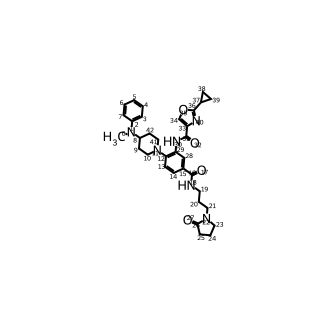 CN(c1ccccc1)C1CCN(c2ccc(C(=O)NCCCN3CCCC3=O)cc2NC(=O)c2coc(C3CC3)n2)CC1